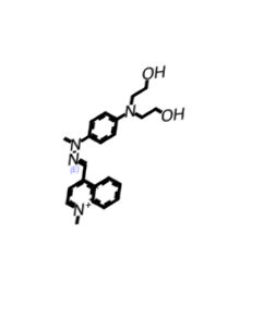 CN(/N=C/c1cc[n+](C)c2ccccc12)c1ccc(N(CCO)CCO)cc1